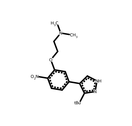 CN(C)CCOc1cc(-c2c[nH]nc2C(C)(C)C)ccc1[N+](=O)[O-]